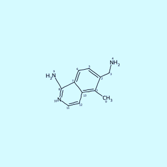 Cc1c(CN)ccc2c(N)nccc12